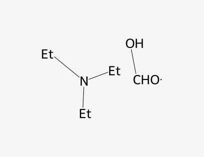 CCN(CC)CC.O=[C]O